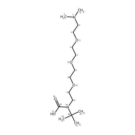 CN(C)CCOCCOCCOCCN(C(=O)O)C(C)(C)C